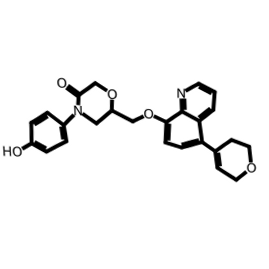 O=C1COC(COc2ccc(C3=CCOCC3)c3cccnc23)CN1c1ccc(O)cc1